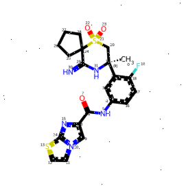 C[C@@]1(c2cc(NC(=O)c3cn4ccsc4n3)ccc2F)CS(=O)(=O)C2(CCCC2)C(=N)N1